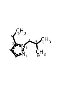 CCc1c[c]nn1CC(C)C